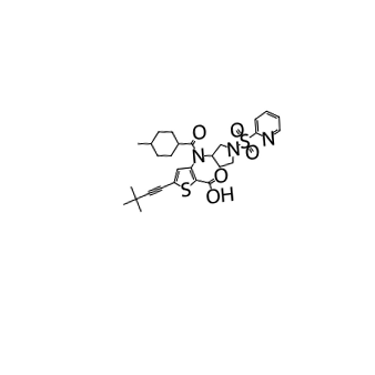 CC1CCC(C(=O)N(c2cc(C#CC(C)(C)C)sc2C(=O)O)C2CCN(S(=O)(=O)c3ccccn3)C2)CC1